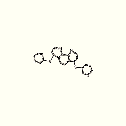 c1cncc(Sc2ccnc3c2ccc2c(Sc4cccnc4)ccnc23)c1